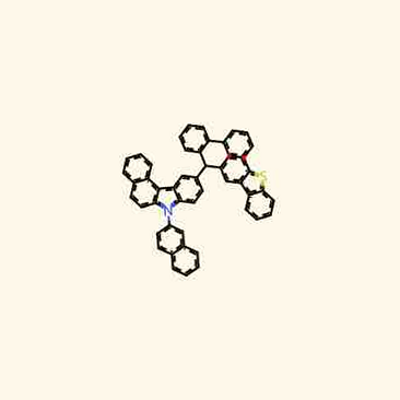 c1ccc(-c2ccccc2C(c2ccc3sc4ccccc4c3c2)c2ccc3c(c2)c2c4ccccc4ccc2n3-c2ccc3ccccc3c2)cc1